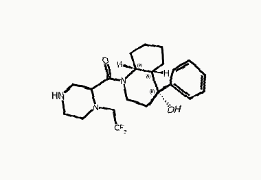 O=C(C1CNCCN1CC(F)(F)F)N1CC[C@](O)(c2ccccc2)[C@H]2CCCC[C@H]21